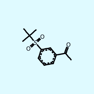 CC(=O)c1cccc(S(=O)(=O)C(C)(C)C)c1